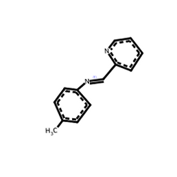 Cc1ccc(/N=C/c2ccccn2)cc1